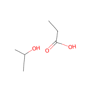 CC(C)O.CCC(=O)O